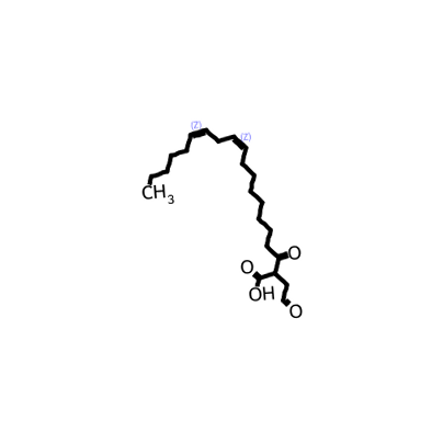 CCCCC/C=C\C/C=C\CCCCCCCC(=O)C(CC=O)C(=O)O